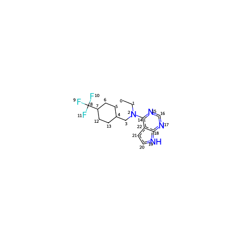 CCN(CC1CCC(C(F)(F)F)CC1)c1ncnc2[nH]ccc12